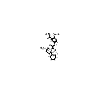 COc1ncc(NC(=O)C(=O)N2C[C@@H](C)CC[C@@]2(C)C2CCCCC2)cc1C(N)=O